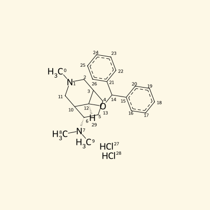 CN1CC2CC[C@H](N(C)C)C(C1)[C@@H]2OC(c1ccccc1)c1ccccc1.Cl.Cl